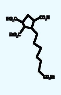 CCOC(=O)CCCCCCC1C(C(=O)O)CC(C(=O)O)C1C(=O)OCC